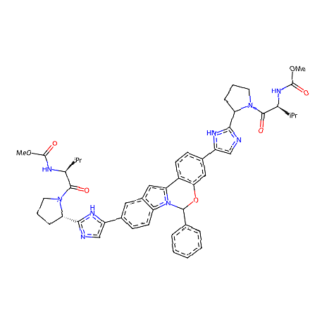 COC(=O)N[C@H](C(=O)N1CCCC1c1ncc(-c2ccc3c(c2)OC(c2ccccc2)n2c-3cc3cc(-c4cnc([C@@H]5CCCN5C(=O)[C@@H](NC(=O)OC)C(C)C)[nH]4)ccc32)[nH]1)C(C)C